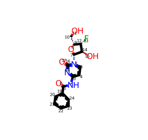 O=C(Nc1ccn([C@@H]2O[C@H](CO)[C@H](F)[C@H]2O)c(=O)n1)c1ccccc1